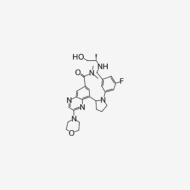 C[C@H](CO)NCc1cc(F)cc(N2CCCC2c2cc(C(=O)N(C)C)cc3ncc(N4CCOCC4)nc23)c1